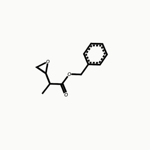 CC(C(=O)OCc1ccccc1)C1CO1